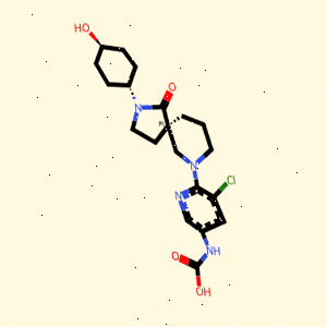 O=C(O)Nc1cnc(N2CCC[C@@]3(CCN([C@H]4CC[C@H](O)CC4)C3=O)C2)c(Cl)c1